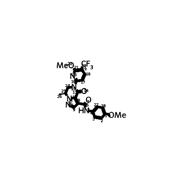 COc1ccc(NC(=O)c2cnn3c2C(=O)N(c2ccc(C(F)(F)F)c(OC)n2)C[C@@H]3C)cc1